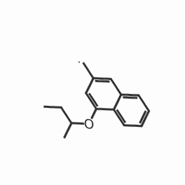 [CH2]c1cc(OC(C)CC)c2ccccc2c1